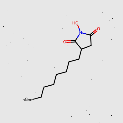 CCCCCCCCCCCCCCCCC1CC(=O)N(O)C1=O